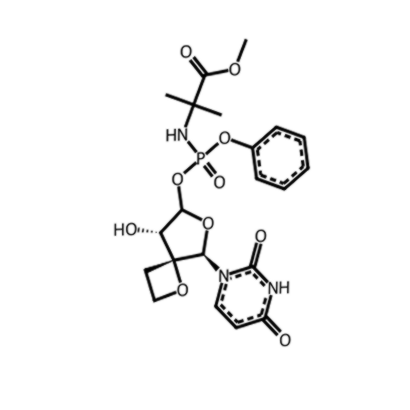 COC(=O)C(C)(C)NP(=O)(Oc1ccccc1)OC1O[C@@H](n2ccc(=O)[nH]c2=O)[C@@]2(CCO2)[C@@H]1O